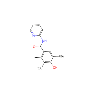 Cc1c(C(=O)Nc2ccccn2)cc(C(C)(C)C)c(O)c1C(C)(C)C